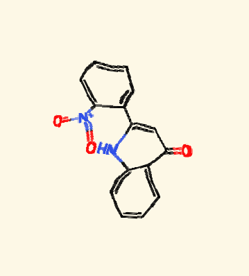 O=c1cc(-c2ccccc2[N+](=O)[O-])[nH]c2ccccc12